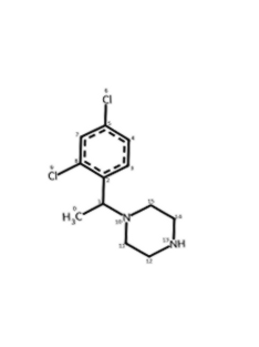 CC(c1ccc(Cl)cc1Cl)N1CCNCC1